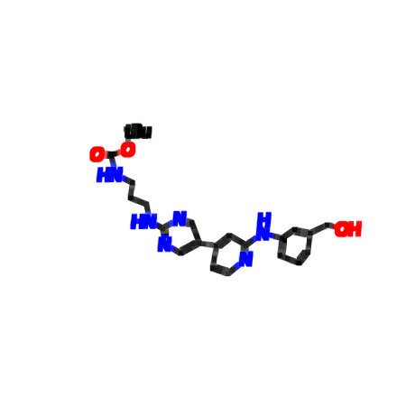 CC(C)(C)OC(=O)NCCCNc1ncc(-c2ccnc(Nc3cccc(CO)c3)c2)cn1